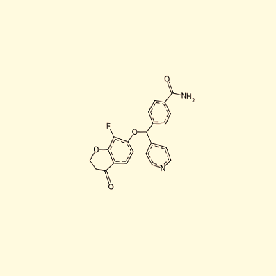 NC(=O)c1ccc(C(Oc2ccc3c(c2F)OCCC3=O)c2ccncc2)cc1